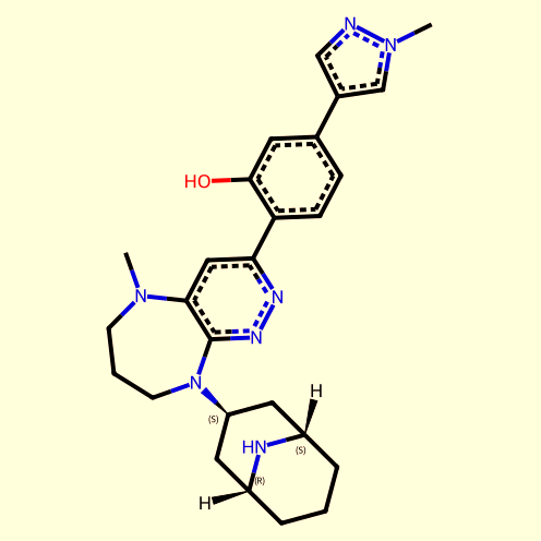 CN1CCCN([C@@H]2C[C@H]3CCC[C@@H](C2)N3)c2nnc(-c3ccc(-c4cnn(C)c4)cc3O)cc21